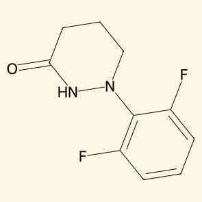 O=C1CCCN(c2c(F)cccc2F)N1